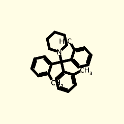 Cc1ccccc1C(c1ccccc1C)(c1ccccc1C)N1CCCCC1